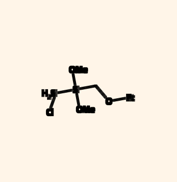 CCOC[Si](OC)(OC)[SiH2]Cl